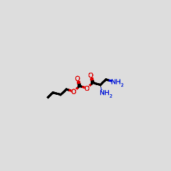 CCCCOC(=O)OC(=O)[C@@H](N)CN